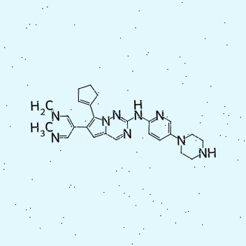 C=N/C=C(\C=N/C)c1cc2cnc(Nc3ccc(N4CCNCC4)cn3)nn2c1C1=CCCC1